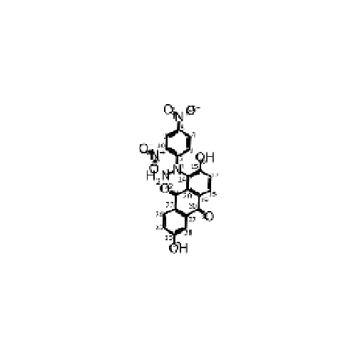 NN(c1ccc([N+](=O)[O-])cc1[N+](=O)[O-])c1c(O)ccc2c1C(=O)c1ccc(O)cc1C2=O